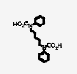 O=C(O)N(CCCCCN(C(=O)O)c1ccccc1)c1ccccc1